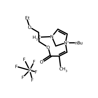 CCCC[N+]1(C=C(C)C(=O)OCCOCC)C=CN(C)C1.F[P-](F)(F)(F)(F)F